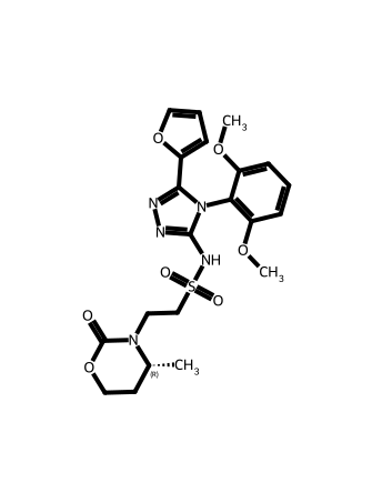 COc1cccc(OC)c1-n1c(NS(=O)(=O)CCN2C(=O)OCC[C@H]2C)nnc1-c1ccco1